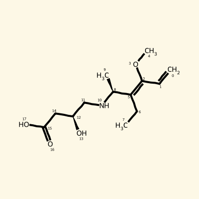 C=C/C(OC)=C(\CC)[C@H](C)NC[C@@H](O)CC(=O)O